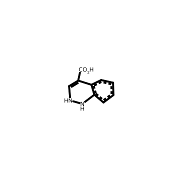 O=C(O)C1=CNNc2ccccc21